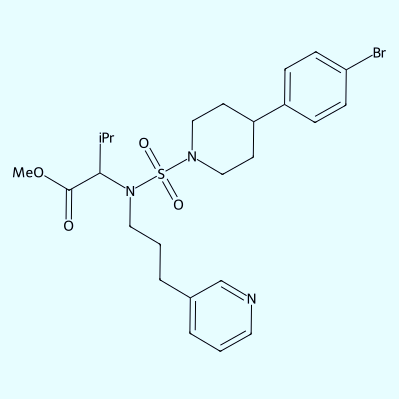 COC(=O)C(C(C)C)N(CCCc1cccnc1)S(=O)(=O)N1CCC(c2ccc(Br)cc2)CC1